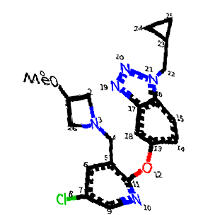 COC1CN(Cc2cc(Cl)cnc2Oc2ccc3c(c2)nnn3CC2CC2)C1